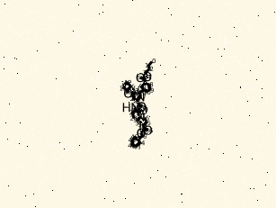 CCCCOC(=O)c1cccc(-c2nc(OC3CCCC3)cc(C(=O)NC(CC)C(=O)N3CCN(C(=O)OCc4ccccc4)CC3)n2)c1